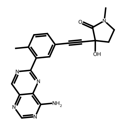 Cc1ccc(C#CC2(O)CCN(C)C2=O)cc1-c1ncc2ncnc(N)c2n1